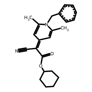 CC1=CC(=C(C#N)C(=O)OC2CCCCC2)C=C(C)N1Cc1ccccc1